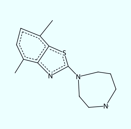 Cc1ccc(C)c2sc(N3CCC[N]CC3)nc12